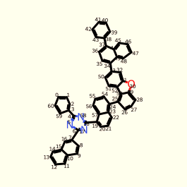 c1ccc(-c2nc(-c3ccc4ccccc4c3)nc(-c3cccc4c(-c5cccc6oc7cc(-c8ccc(-c9ccccc9)c9ccccc89)ccc7c56)cccc34)n2)cc1